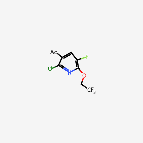 CC(=O)c1cc(F)c(OCC(F)(F)F)nc1Cl